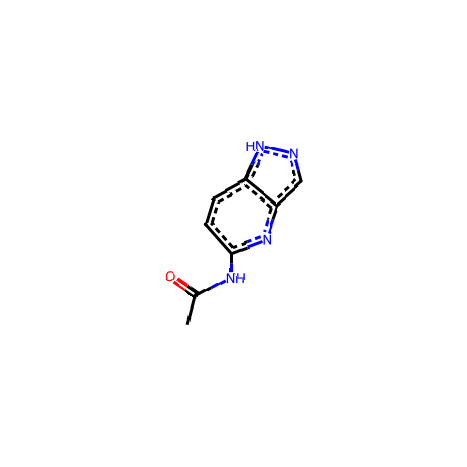 CC(=O)Nc1ccc2[nH]ncc2n1